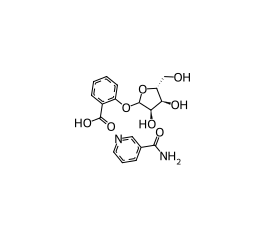 NC(=O)c1cccnc1.O=C(O)c1ccccc1OC1O[C@H](CO)[C@@H](O)[C@H]1O